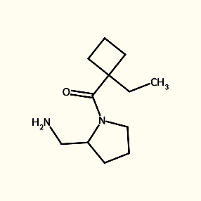 CCC1(C(=O)N2CCCC2CN)CCC1